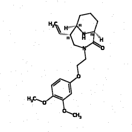 C=C[C@H]1CN(CCOc2ccc(OC)c(OC)c2)C(=O)[C@@H]2CCC[C@H]1N2